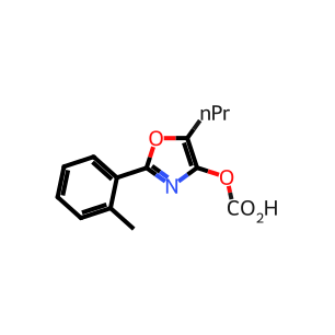 CCCc1oc(-c2ccccc2C)nc1OC(=O)O